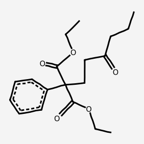 CCCC(=O)CCC(C(=O)OCC)(C(=O)OCC)c1ccccc1